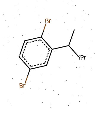 CC(C)C(C)c1cc(Br)ccc1Br